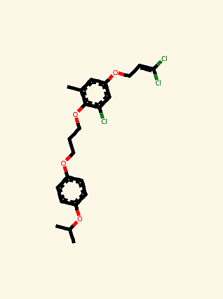 Cc1cc(OCC=C(Cl)Cl)cc(Cl)c1OCCCOc1ccc(OC(C)C)cc1